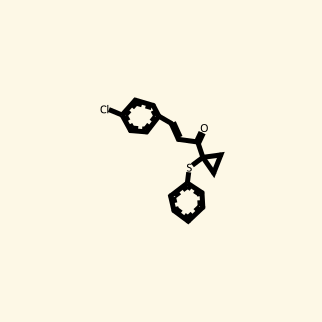 O=C(C=Cc1ccc(Cl)cc1)C1(Sc2ccccc2)CC1